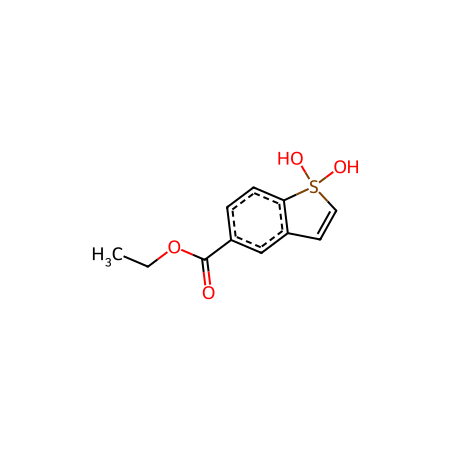 CCOC(=O)c1ccc2c(c1)C=CS2(O)O